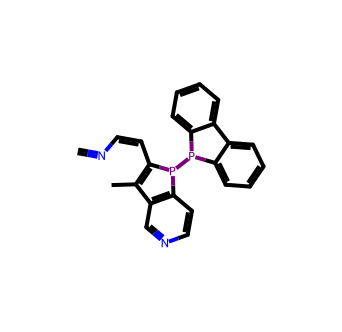 C=N/C=C\c1c(C)c2cnccc2p1-p1c2ccccc2c2ccccc21